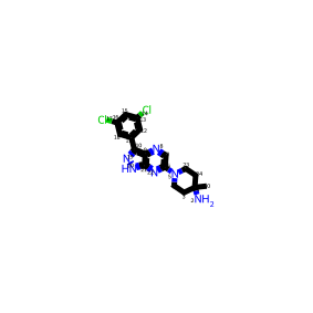 CC1(N)CCN(c2cnc3c(-c4cc(Cl)cc(Cl)c4)n[nH]c3n2)CC1